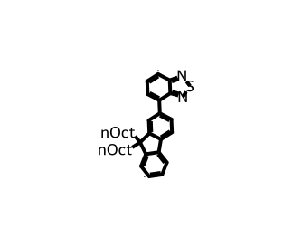 CCCCCCCCC1(CCCCCCCC)c2c[c]ccc2-c2ccc(-c3cc[c]c4nsnc34)cc21